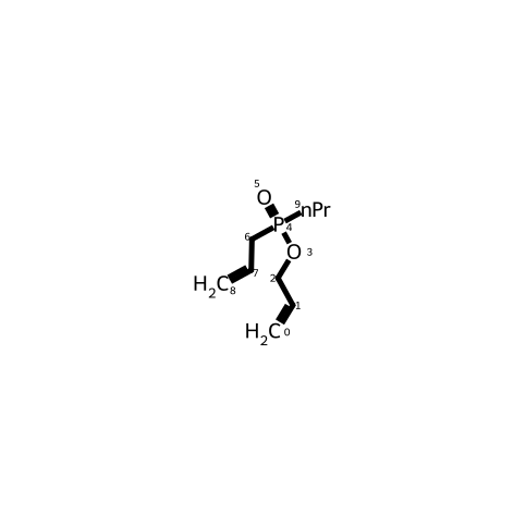 C=CCOP(=O)(CC=C)CCC